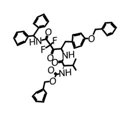 CC(C)[C@H](NC(=O)OCc1ccccc1)C(=O)NC(Cc1ccc(OCc2ccccc2)cc1)C(=O)C(F)(F)C(=O)NC(c1ccccc1)c1ccccc1